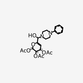 CC(=O)O[C@@H]1OC(C(O)N2CCN(c3ccccc3)CC2)=C[C@H](OC(C)=O)[C@H]1OC(C)=O